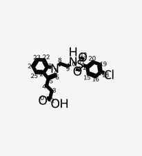 O=C(O)CCc1cn(CCNS(=O)(=O)c2ccc(Cl)cc2)c2ccccc12